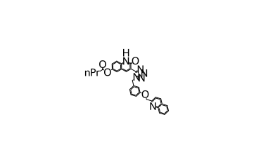 CCCC(=O)Oc1ccc2[nH]c(=O)c(-c3nnnn3Cc3cccc(OCc4ccc5ccccc5n4)c3)cc2c1